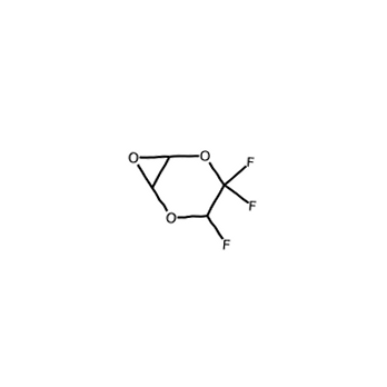 FC1OC2OC2OC1(F)F